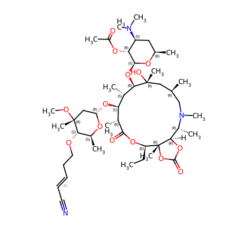 CC[C@H]1OC(=O)[C@H](C)[C@@H](O[C@H]2C[C@@](C)(OC)[C@@H](OCC/C=C/C#N)[C@H](C)O2)[C@H](C)[C@@H](O[C@@H]2O[C@H](C)C[C@H](N(C)C)[C@H]2OC(C)=O)[C@](C)(O)C[C@@H](C)CN(C)[C@H](C)[C@H]2OC(=O)O[C@@]21C